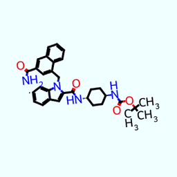 CC(C)(C)OC(=O)N[C@H]1CC[C@H](NC(=O)c2cc3cc[c]cc3n2Cc2cc(C(N)=O)cc3ccccc23)CC1